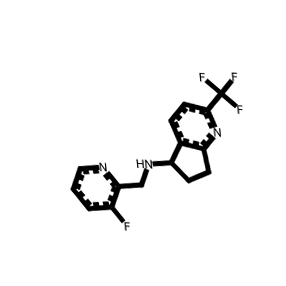 Fc1cccnc1CNC1CCc2nc(C(F)(F)F)ccc21